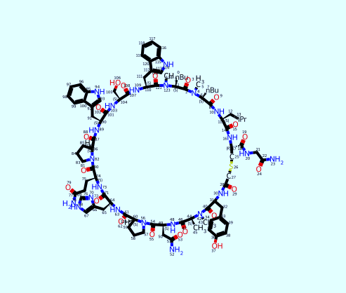 CCCC[C@H]1C(=O)N(C)[C@@H](CCCC)C(=O)N[C@@H](CC(C)C)C(=O)N[C@H](C(=O)NCC(N)=O)CSCC(=O)NC(Cc2ccc(O)cc2)C(=O)N(C)[C@@H](C)C(=O)N[C@@H](CC(N)=O)C(=O)N2CCC[C@H]2C(=O)N[C@@H](Cc2c[nH]cn2)C(=O)N[C@@H](CCC(N)=O)C(=O)N2CCC[C@H]2C(=O)N[C@@H](Cc2c[nH]c3ccccc23)C(=O)N[C@@H](CO)C(=O)N[C@@H](Cc2c[nH]c3ccccc23)C(=O)N1C